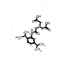 CC(C)c1ccc(C(C)C)c(NC(=O)CN(CC(=O)O)CC(=O)O)c1